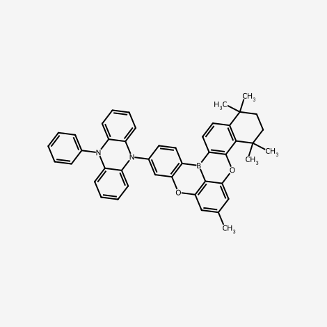 Cc1cc2c3c(c1)Oc1c(ccc4c1C(C)(C)CCC4(C)C)B3c1ccc(N3c4ccccc4N(c4ccccc4)c4ccccc43)cc1O2